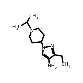 CCc1nn(C2CCN(C(C)C)CC2)cc1N